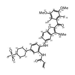 C=CC(=O)Nc1cc(N2CCN(S(C)(=O)=O)CC2)ccc1Nc1cc2c(NC)c(C(=O)c3c(F)c(OC)cc(OC)c3F)oc2cn1